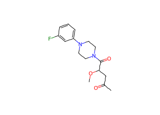 COC(CC(C)=O)C(=O)N1CCN(c2cccc(F)c2)CC1